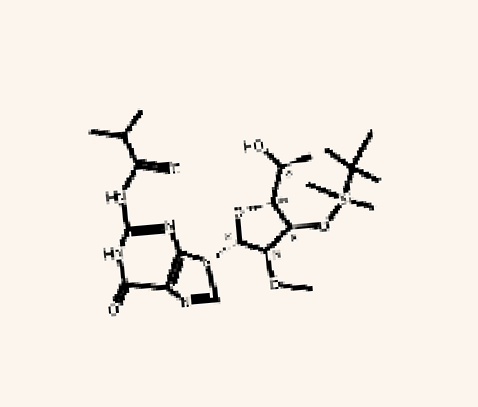 CO[C@@H]1[C@H](O[Si](C)(C)C(C)(C)C)[C@@H]([C@H](C)O)O[C@H]1n1cnc2c(=O)[nH]c(NC(=O)C(C)C)nc21